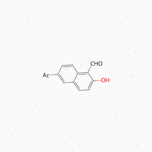 CC(=O)c1ccc2c(C=O)c(O)ccc2c1